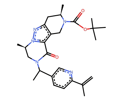 C=C(C)c1ccc(C(C)N2C[C@@H](C)n3nc4c(c3C2=O)CN(C(=O)OC(C)(C)C)[C@H](C)C4)cn1